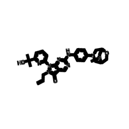 C=CCn1c(=O)c2cnc(Nc3ccc(N4CC5CN(C)C(CO5)C4)cc3)nc2n1-c1cccc(C(C)(C)O)n1